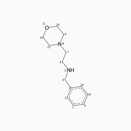 c1ccc(CNCCN2CCOCC2)cc1